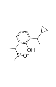 CC(c1cccc(C(C)[S+](C)[O-])c1O)C1CC1